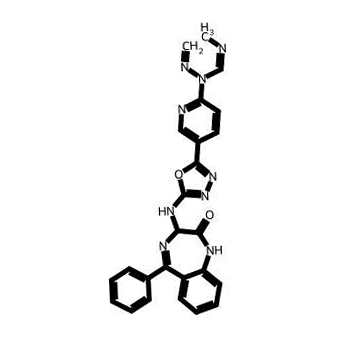 C=NN(/C=N\C)c1ccc(-c2nnc(NC3N=C(c4ccccc4)c4ccccc4NC3=O)o2)cn1